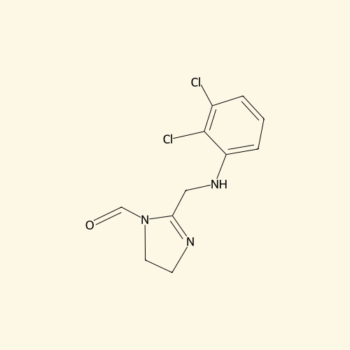 O=CN1CCN=C1CNc1cccc(Cl)c1Cl